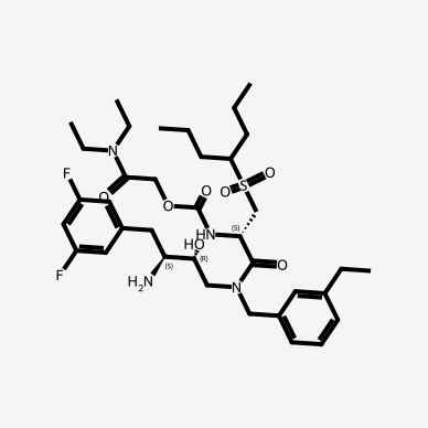 CCCC(CCC)S(=O)(=O)C[C@@H](NC(=O)OCC(=O)N(CC)CC)C(=O)N(Cc1cccc(CC)c1)C[C@@H](O)[C@@H](N)Cc1cc(F)cc(F)c1